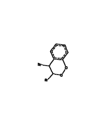 BrC1OOc2ccccc2C1Br